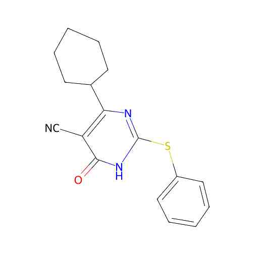 N#Cc1c(C2CCCCC2)nc(Sc2ccccc2)[nH]c1=O